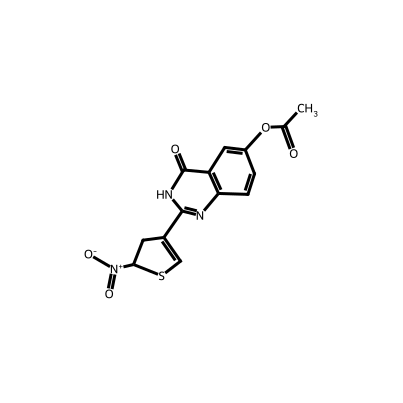 CC(=O)Oc1ccc2nc(C3=CSC([N+](=O)[O-])C3)[nH]c(=O)c2c1